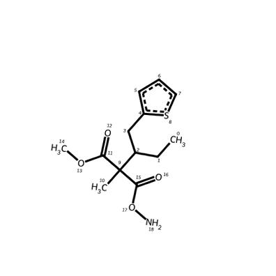 CCC(Cc1cccs1)C(C)(C(=O)OC)C(=O)ON